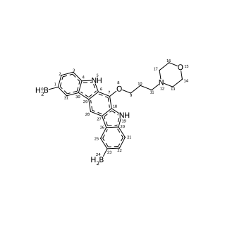 Bc1ccc2[nH]c3c(OCCCN4CCOCC4)c4[nH]c5ccc(B)cc5c4cc3c2c1